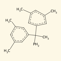 Cc1cc(C)cc(C(C)(P)c2cc(C)cc(C)c2)c1